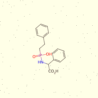 O=C(O)C(NP(=O)(O)CCc1ccccc1)c1ccccc1